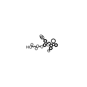 COc1ccc2c3c(c4c(c2c1)OC(c1ccc(OCCOC(=O)CCC(=O)O)cc1)(c1ccc(N2CCOCC2)cc1)C=C4)C1(CCCCCCC1)c1ccccc1-3